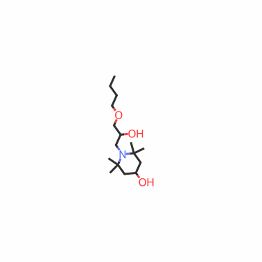 CCCCOCC(O)CN1C(C)(C)CC(O)CC1(C)C